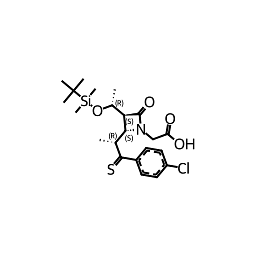 C[C@@H](O[Si](C)(C)C(C)(C)C)[C@H]1C(=O)N(CC(=O)O)[C@@H]1[C@@H](C)C(=S)c1ccc(Cl)cc1